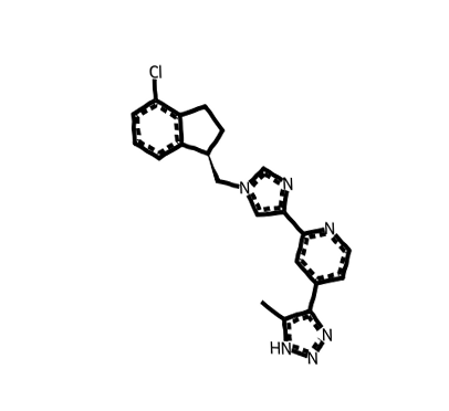 Cc1[nH]nnc1-c1ccnc(-c2cn(C[C@@H]3CCc4c(Cl)cccc43)cn2)c1